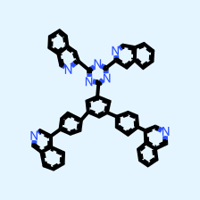 c1ccc2cc(-c3nc(-c4cc(-c5ccc(-c6cncc7ccccc67)cc5)cc(-c5ccc(-c6cncc7ccccc67)cc5)c4)nc(-c4cc5ccccc5cn4)n3)ncc2c1